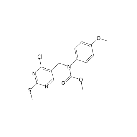 COC(=O)N(Cc1cnc(SC)nc1Cl)c1ccc(OC)cc1